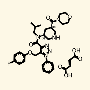 CC(C)CN(C(=O)c1nnn(-c2ccccc2)c1COc1ccc(F)cc1)[C@@H]1CNC[C@H](C(=O)N2CCOCC2)C1.O=C(O)C=CC(=O)O